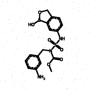 COC(=O)N(Cc1cccc(N)c1)S(=O)(=O)Nc1ccc2c(c1)B(O)OC2